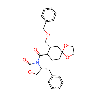 O=C1OC[C@@H](Cc2ccccc2)N1C(=O)[C@@H]1CCC2(C[C@H]1COCc1ccccc1)OCCO2